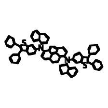 c1ccc(-c2sc3cc(N(c4cccc5ccccc45)c4ccc5ccc6c(N(c7ccc8c(-c9ccccc9)c(-c9ccccc9)sc8c7)c7cccc8ccccc78)ccc7ccc4c5c76)ccc3c2-c2ccccc2)cc1